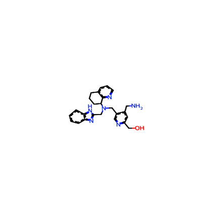 NCc1cc(CO)ncc1CN(Cc1nc2ccccc2[nH]1)C1CCCc2cccnc21